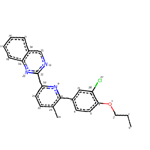 CCCOc1ccc(-c2nc(-c3ncc4ccccc4n3)ccc2C)cc1Cl